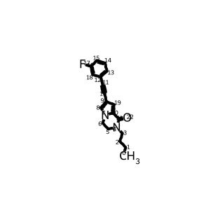 CCCCN1CCn2cc(C#Cc3cccc(F)c3)cc2C1=O